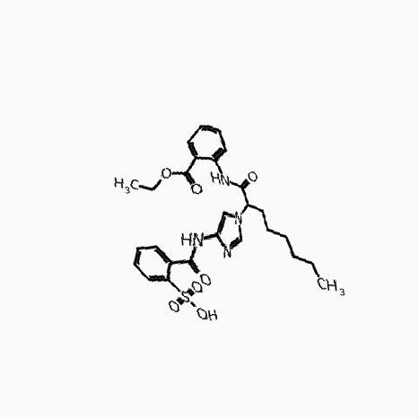 CCCCCCC(C(=O)Nc1ccccc1C(=O)OCC)n1cnc(NC(=O)c2ccccc2S(=O)(=O)O)c1